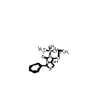 CCOC1[C@@H]2CSC(c3ccccc3)N2C(=O)N1[Si](C)(C)C